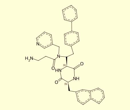 NCCC(=O)N(Cc1cccnc1)C(Cc1ccc(-c2ccccc2)cc1)[C@@H]1NC(=O)[C@H](Cc2ccc3ccccc3c2)NC1=O